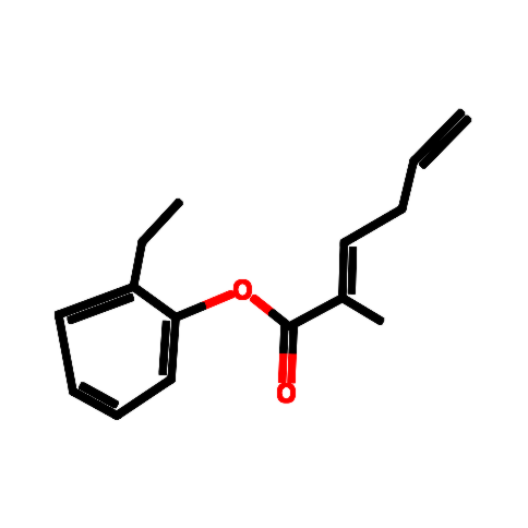 C=CCC=C(C)C(=O)Oc1ccccc1CC